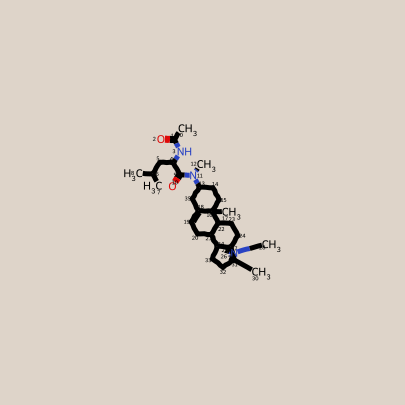 CC(=O)NC(CC(C)C)C(=O)N(C)C1CCC2(C)C(=CCC3C2CCC24CN(C)C(C)C2CCC34)C1